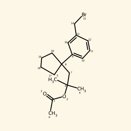 CC(=O)OC(C)(C)CC1(c2cccc(CBr)c2)CCCC1